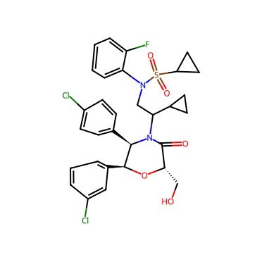 O=C1[C@H](CO)O[C@@H](c2cccc(Cl)c2)[C@@H](c2ccc(Cl)cc2)N1C(CN(c1ccccc1F)S(=O)(=O)C1CC1)C1CC1